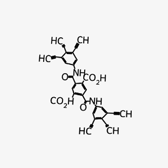 C#Cc1cc(NC(=O)c2cc(C(=O)O)c(C(=O)Nc3cc(C#C)c(C#C)c(C#C)c3)cc2C(=O)O)cc(C#C)c1C#C